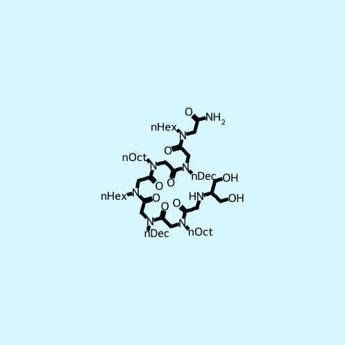 CCCCCCCCCCN(CC(=O)N(CCCCCC)CC(N)=O)C(=O)CN(CCCCCCCC)C(=O)CN(CCCCCC)C(=O)CN(CCCCCCCCCC)C(=O)CN(CCCCCCCC)C(=O)CNC(CO)CO